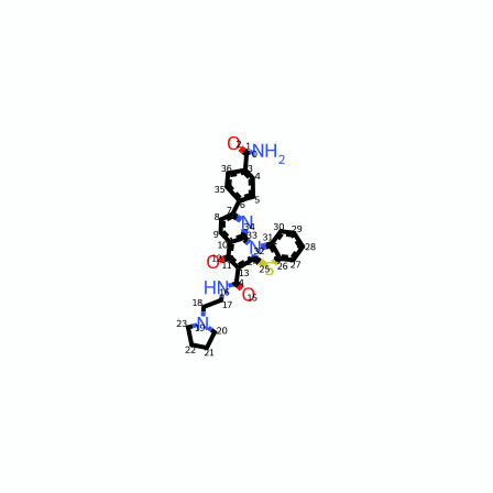 NC(=O)c1ccc(-c2ccc3c(=O)c(C(=O)NCCN4CCCC4)c4sc5ccccc5n4c3n2)cc1